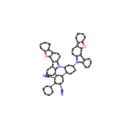 N#Cc1cc(-c2ccc(-n3c4ccccc4c4c5oc6ccccc6c5ccc43)cc2-n2c3ccccc3c3c4oc5ccccc5c4ccc32)cc(C#N)c1-c1ccccc1